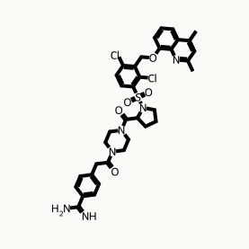 Cc1cc(C)c2cccc(OCc3c(Cl)ccc(S(=O)(=O)N4CCCC4C(=O)N4CCN(C(=O)Cc5ccc(C(=N)N)cc5)CC4)c3Cl)c2n1